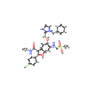 CNC(=O)c1c(-c2ccc(F)cc2)oc2cc(NCS(C)(=O)=O)c(OCc3nccn3Cc3ccccc3)cc12